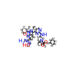 C[C@H]1CC[C@H](Nc2ncc(C(F)(F)F)c(-c3nn(C4CCCCO4)c4nc(/C(N)=N/O)ccc34)n2)CN1C(=O)OCc1ccccc1